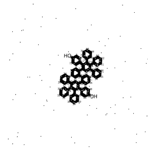 Oc1ccc(-c2c(-c3ccccc3-c3ccccc3-c3cc(-c4ccccc4)c(-c4ccccc4)c(-c4ccccc4)c3-c3ccc(O)cc3)cc(-c3ccccc3)c(-c3ccccc3)c2-c2ccccc2)cc1